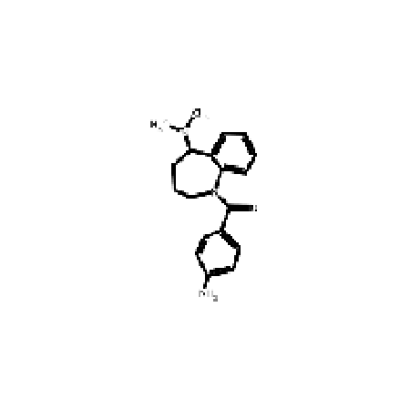 CN(C)C1CCCN(C(=O)c2ccc(N)cc2)c2ccccc21